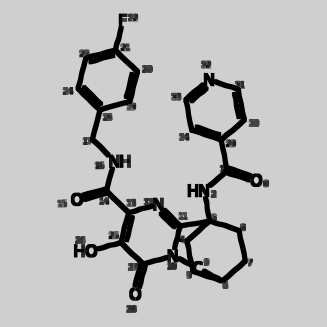 O=C(NC12CCC(CC1)Cn1c2nc(C(=O)NCc2ccc(F)cc2)c(O)c1=O)c1ccncc1